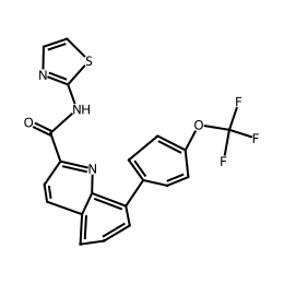 O=C(Nc1nccs1)c1ccc2cccc(-c3ccc(OC(F)(F)F)cc3)c2n1